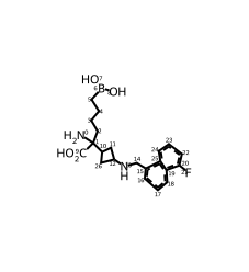 NC(CCCCB(O)O)(C(=O)O)C1CC(NCc2cccc3c(F)cccc23)C1